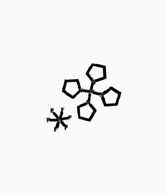 C1CCN([P+](N2CCCC2)(N2CCCC2)N2CCCC2)C1.F[P-](F)(F)(F)(F)F